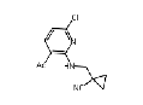 CC(=O)c1ccc(Cl)nc1NCC1(C#N)CC1